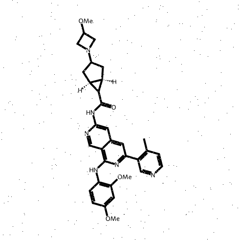 COc1ccc(Nc2nc(-c3cnccc3C)cc3cc(NC(=O)C4[C@H]5CC(N6CC(OC)C6)C[C@@H]45)ncc23)c(OC)c1